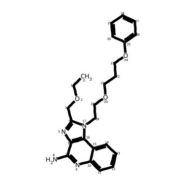 CCOCc1nc2c(N)nc3ccccc3c2n1CCOCCCOc1ccccc1